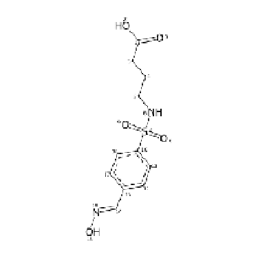 O=C(O)CCCNS(=O)(=O)c1ccc(C=NO)cc1